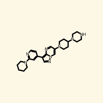 c1cc(-c2cnn3cc(N4CCC(N5CCNCC5)CC4)cnc23)cc(N2CCCCC2)n1